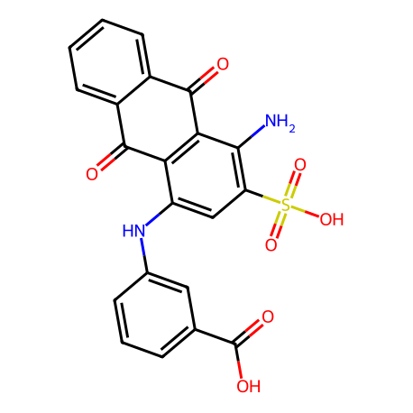 Nc1c(S(=O)(=O)O)cc(Nc2cccc(C(=O)O)c2)c2c1C(=O)c1ccccc1C2=O